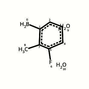 Bc1cccc(F)c1C.O.O